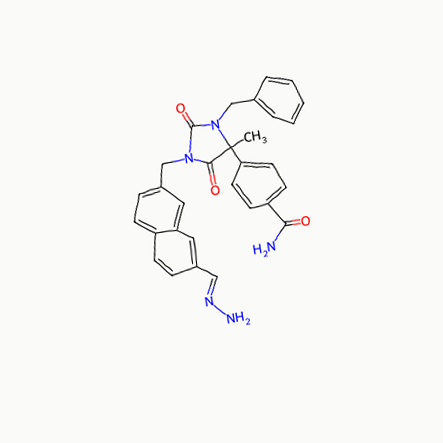 CC1(c2ccc(C(N)=O)cc2)C(=O)N(Cc2ccc3ccc(C=NN)cc3c2)C(=O)N1Cc1ccccc1